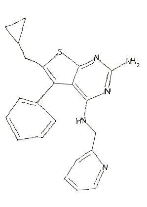 Nc1nc(NCc2ccccn2)c2c(-c3ccccc3)c(CC3CC3)sc2n1